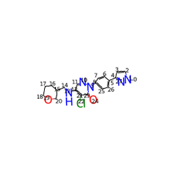 Cn1ccc(-c2ccc(-n3ncc(NCC4CCCOC4)c(Cl)c3=O)cc2)n1